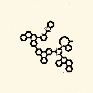 C=C1/C=C\C=C/CN(c2nc(-c3ccc4c5cc(-c6ccc7c(c6)c(-c6cccc(-c8nc9ccccc9o8)n6)cc6ccc8ccccc8c67)ccc5c5ccccc5c4c3)nc(-c3cc4ccc5ccccc5c4c4ccccc34)n2)c2ccccc21